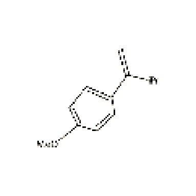 C=C(c1ccc(OC)cc1)C(C)C